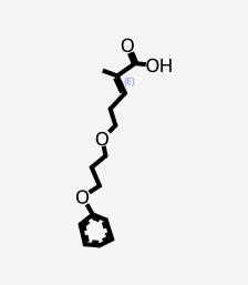 C/C(=C\CCOCCCOc1ccccc1)C(=O)O